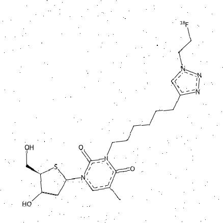 Cc1cn(C2CC(O)[C@@H](CO)S2)c(=O)n(CCCCCCc2cn(CC[18F])nn2)c1=O